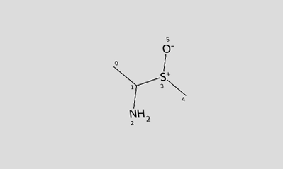 CC(N)[S+](C)[O-]